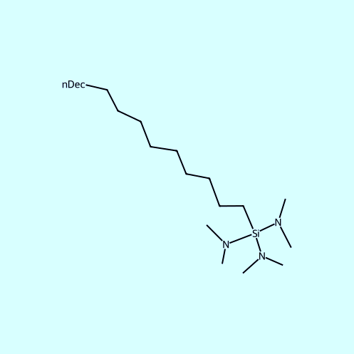 CCCCCCCCCCCCCCCCCCC[Si](N(C)C)(N(C)C)N(C)C